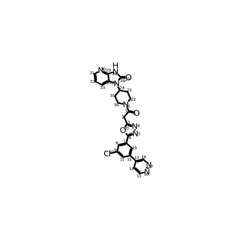 O=C(Cc1nnc(-c2cc(Cl)cc(-c3ccnnc3)c2)o1)N1CCC(n2c(=O)[nH]c3ncccc32)CC1